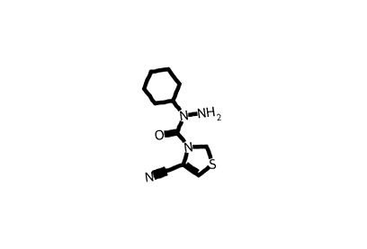 N#CC1=CSCN1C(=O)N(N)C1CCCCC1